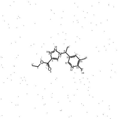 CCOC(=O)c1cn(C(C)c2cnc(F)c(C)c2)nn1